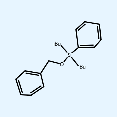 CCC(C)[Si](OCc1ccccc1)(c1ccccc1)C(C)CC